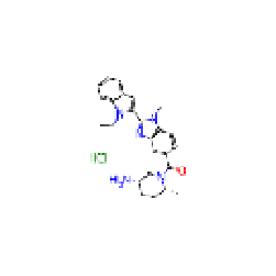 CCn1c(-c2nc3cc(C(=O)N4C[C@@H](N)CC[C@H]4C)ccc3n2C)cc2ccccc21.Cl